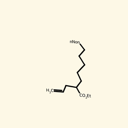 C=CCC(CCCCCCCCCCCCCC)C(=O)OCC